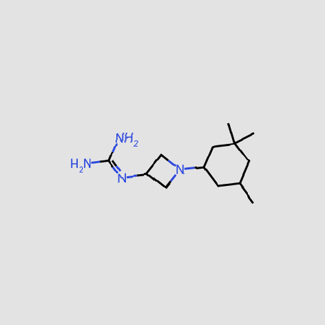 CC1CC(N2CC(N=C(N)N)C2)CC(C)(C)C1